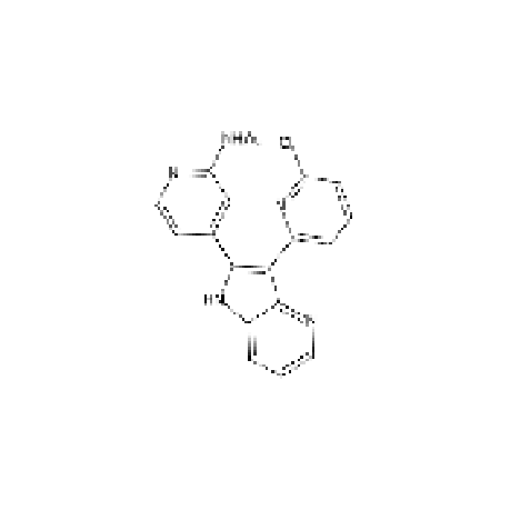 CC(=O)Nc1cc(-c2[nH]c3cccnc3c2-c2cccc(Cl)n2)ccn1